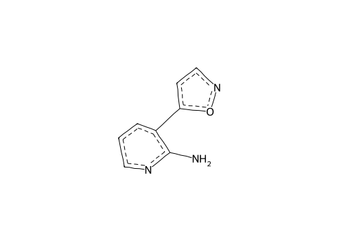 Nc1ncccc1-c1ccno1